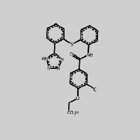 O=C(O)COc1ccc(C(=O)Nc2ccccc2Sc2ccccc2-c2nnn[nH]2)cc1Cl